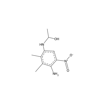 Cc1c(NC(C)O)cc([N+](=O)[O-])c(N)c1C